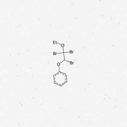 [CH2]COC(Br)(Br)C(Br)Oc1ccccc1